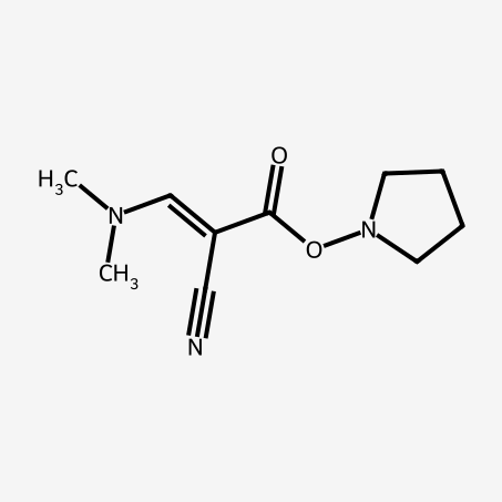 CN(C)C=C(C#N)C(=O)ON1CCCC1